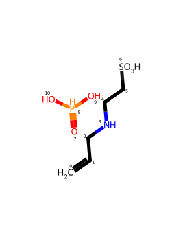 C=CCNCCS(=O)(=O)O.O=[PH](O)O